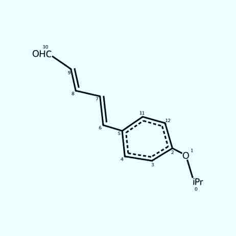 CC(C)Oc1ccc(C=CC=CC=O)cc1